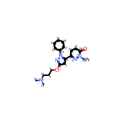 CC(C)n1nc(-c2cc(OCCCN(C)C)nn2-c2ccccc2)ccc1=O